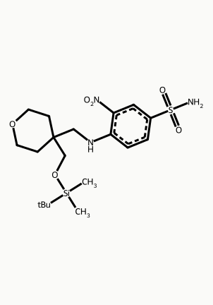 CC(C)(C)[Si](C)(C)OCC1(CNc2ccc(S(N)(=O)=O)cc2[N+](=O)[O-])CCOCC1